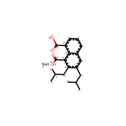 CC(C)Cc1cc2cccc(C(=O)O)c2c(C(=O)O)c1CC(C)C.[NaH]